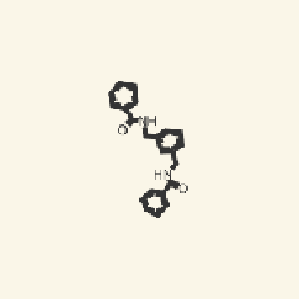 O=C(NCc1cccc(CNC(=O)c2ccccc2)c1)c1ccccc1